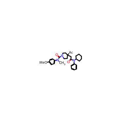 COc1ccc(N(C)C(=O)N2CCC(CC(=O)N(c3ccccc3)C3CCCCC3)(C(C)=O)CC2)cc1